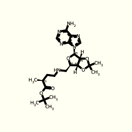 C[C@@H](CCNC[C@H]1O[C@@H](n2cnc3c(N)ncnc32)[C@@H]2OC(C)(C)O[C@@H]21)C(=O)OC(C)(C)C